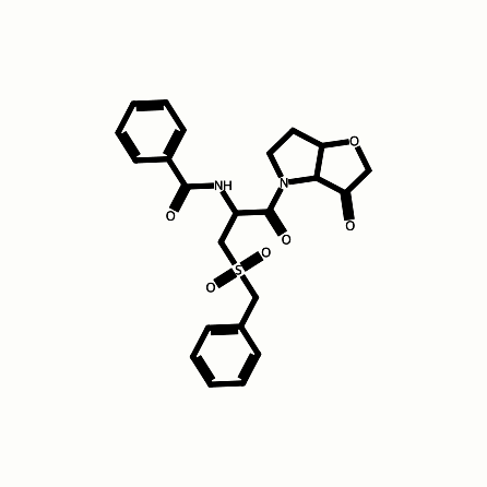 O=C(NC(CS(=O)(=O)Cc1ccccc1)C(=O)N1CCC2OCC(=O)C21)c1ccccc1